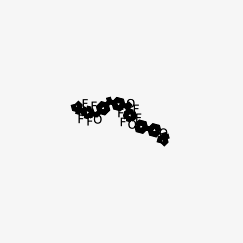 CCC(C)(CC)Oc1ccc(-c2ccc(Oc3c(F)c(F)c(C(=O)c4ccc(C(C)c5ccc(C(=O)c6c(F)c(F)c(C(C)(CC)CC)c(F)c6F)cc5)cc4)c(F)c3F)cc2)cc1